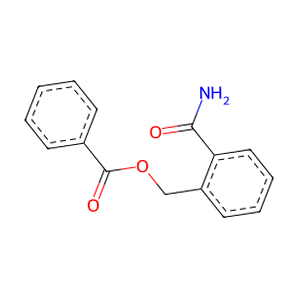 NC(=O)c1ccccc1COC(=O)c1ccccc1